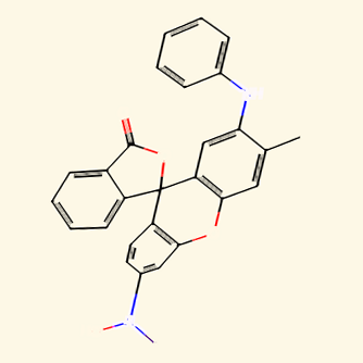 Cc1cc2c(cc1Nc1ccccc1)C1(OC(=O)c3ccccc31)c1ccc(N(O)I)cc1O2